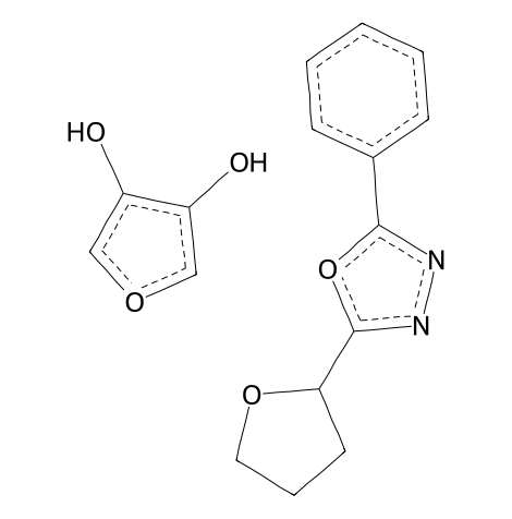 Oc1cocc1O.c1ccc(-c2nnc(C3CCCO3)o2)cc1